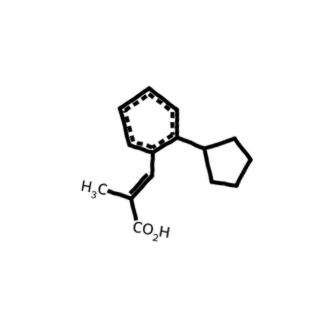 CC(=Cc1ccccc1C1CCCC1)C(=O)O